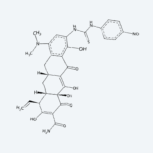 C=C[C@@H]1C(O)=C(C(N)=O)C(=O)[C@@]2(O)C(O)=C3C(=O)c4c(O)c(NC(=S)Nc5ccc(N=O)cc5)cc(N(C)C)c4C[C@H]3C[C@@H]12